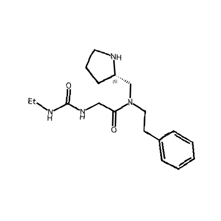 CCNC(=O)NCC(=O)N(CCc1ccccc1)C[C@@H]1CCCN1